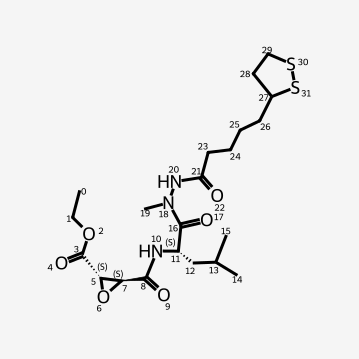 CCOC(=O)[C@H]1O[C@@H]1C(=O)N[C@@H](CC(C)C)C(=O)N(C)NC(=O)CCCCC1CCSS1